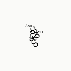 CNCC(CC1CCCCC1)NC(=O)N1CCCC(C(O)(CCCNC(C)=O)c2cc(C)cc(F)c2)C1